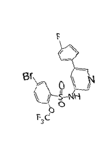 O=S(=O)(Nc1cncc(-c2ccc(F)cc2)c1)c1cc(Br)ccc1OC(F)(F)F